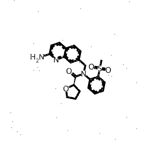 CS(=O)(=O)c1ccccc1N(Cc1ccc2ccc(N)nc2c1)C(=O)[C@H]1CCCO1